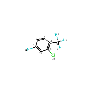 Fc1ccc(C(F)(F)F)c(Cl)c1